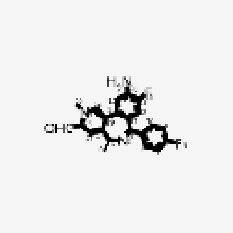 C[C@@H]1N=C(c2ccc(F)cc2)c2cc(F)c(N)cc2C2=CN(C)C(C=O)C=C21